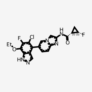 CCOc1c(F)c(Cl)c(-c2ccc3nc(NC(=O)[C@@H]4C[C@@H]4F)cn3c2)c2cn[nH]c12